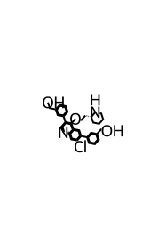 OCc1cccc(-c2cc3c(OCC[C@H]4CCCCN4)c(-c4cccc(CO)c4)cnc3cc2Cl)c1